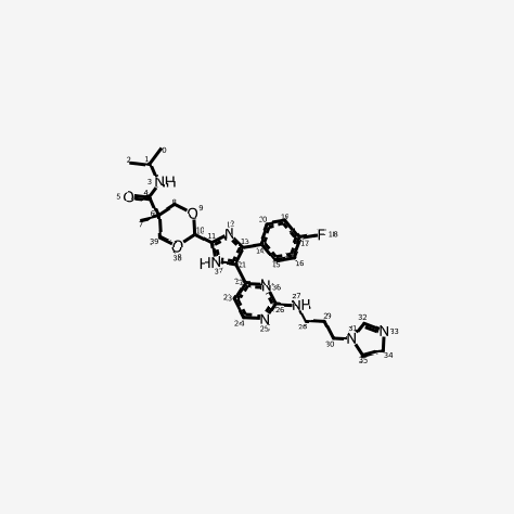 CC(C)NC(=O)C1(C)COC(c2nc(-c3ccc(F)cc3)c(-c3ccnc(NCCCN4C=NCC4)n3)[nH]2)OC1